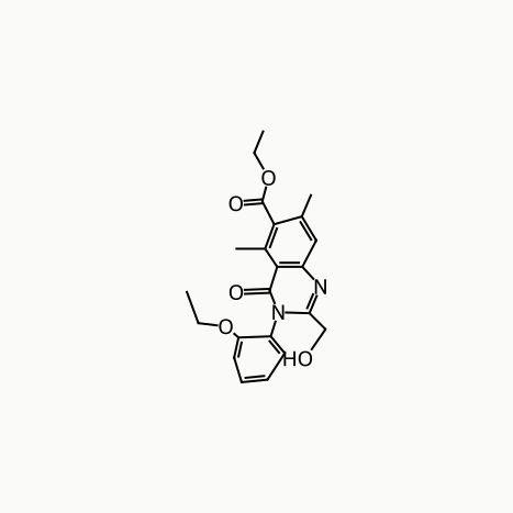 CCOC(=O)c1c(C)cc2nc(CO)n(-c3ccccc3OCC)c(=O)c2c1C